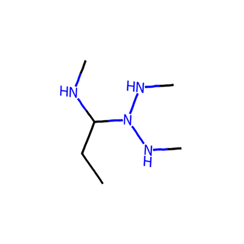 CCC(NC)N(NC)NC